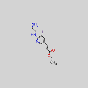 CCOC(=O)/C=C/c1cnc(NCCN)c(I)c1